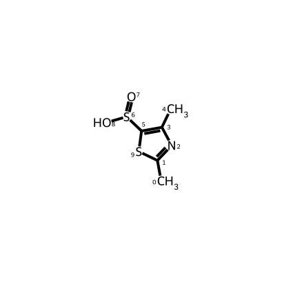 Cc1nc(C)c(S(=O)O)s1